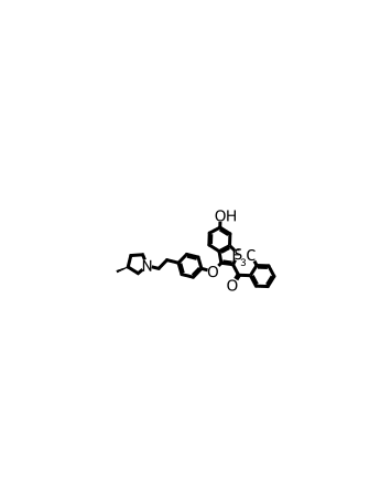 C[C@H]1CCN(CCc2ccc(Oc3c(C(=O)c4ccccc4C(F)(F)F)sc4cc(O)ccc34)cc2)C1